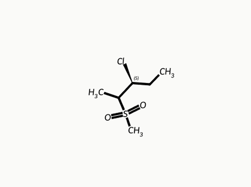 CC[C@H](Cl)C(C)S(C)(=O)=O